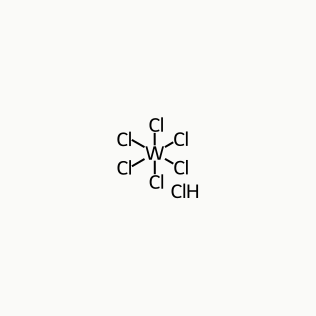 Cl.[Cl][W]([Cl])([Cl])([Cl])([Cl])[Cl]